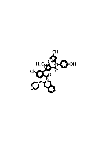 Cc1cc(N(C(=O)c2cc(-c3cc(Cl)ccc3C(=O)N3Cc4ccccc4C[C@H]3CN3CCOCC3)n(C)c2C)c2ccc(O)cc2)no1